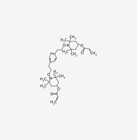 C=CC(=O)OC1CC(C)(C)N(OCCc2ccc(CCON3C(C)(C)CC(OC(=O)C=C)CC3(C)C)cc2)C(C)(C)C1